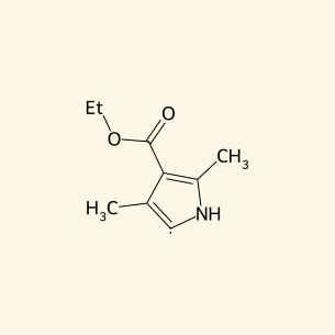 CCOC(=O)c1c(C)[c][nH]c1C